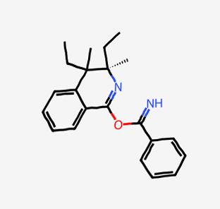 CCC1(C)c2ccccc2C(OC(=N)c2ccccc2)=N[C@]1(C)CC